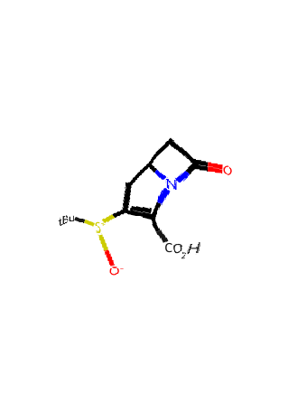 CC(C)(C)[S+]([O-])C1=C(C(=O)O)N2C(=O)CC2C1